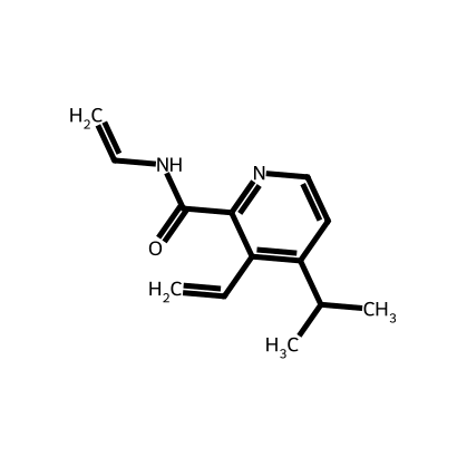 C=CNC(=O)c1nccc(C(C)C)c1C=C